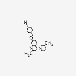 Cc1cc(N2CCC[C@@H](C)C2)c2ccc(OCc3ccc(C#N)cc3)cc2n1